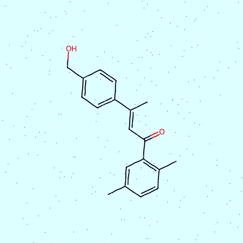 C/C(=C\C(=O)c1cc(C)ccc1C)c1ccc(CO)cc1